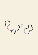 CC(Cc1csc(Oc2ccccc2)n1)Nc1ncnc2ccccc12